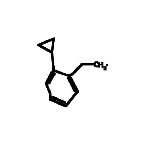 [CH2]Cc1ccccc1C1CC1